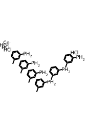 Cc1cccc(P)c1.Cc1cccc(P)c1.Cc1cccc(P)c1.Cc1cccc(P)c1.Cc1cccc(P)c1.Cc1cccc(P)c1.Cl.Cl.Cl.Cl.[Co]